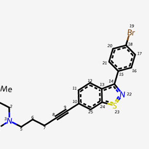 COCCN(C)CCCC#Cc1ccc2c(-c3ccc(Br)cc3)nsc2c1